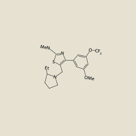 CCC1CCCN1Cc1sc(NC)nc1-c1cc(OC)cc(OC(F)(F)F)c1